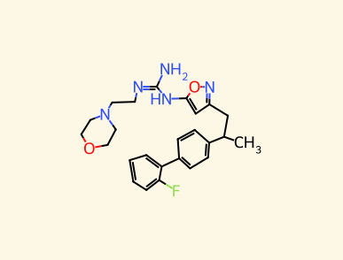 CC(Cc1cc(NC(N)=NCCN2CCOCC2)on1)c1ccc(-c2ccccc2F)cc1